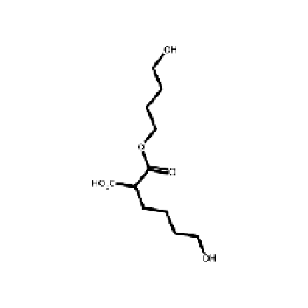 O=C(O)C(CCCCO)C(=O)OCCCCO